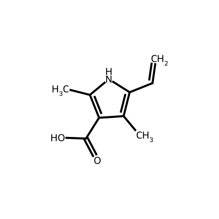 C=Cc1[nH]c(C)c(C(=O)O)c1C